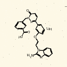 Nc1nc2ccccc2n1CCOc1cccc(-c2ccc(=O)n(Cc3cccc(C(=O)O)c3)n2)c1.[LiH]